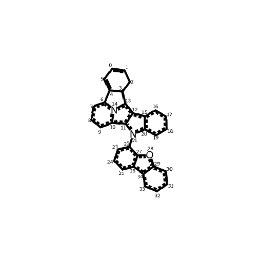 C1=CCC2C(=C1)c1cccc3c4c(c2n13)c1ccccc1n4-c1cccc2c1oc1ccccc12